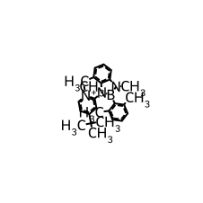 Cc1cccc(C)c1B1N(C)c2cccc(C)c2N1c1cc(C(C)(C)C)cc[n+]1C